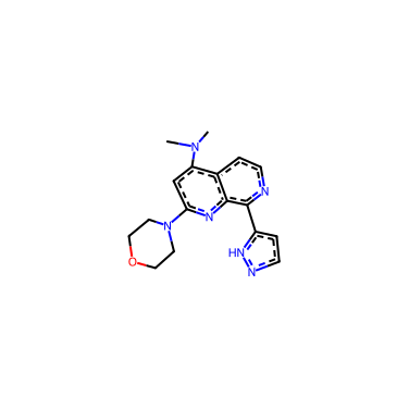 CN(C)c1cc(N2CCOCC2)nc2c(-c3ccn[nH]3)nccc12